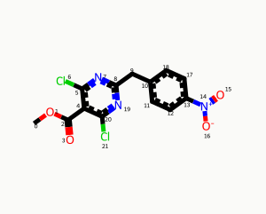 COC(=O)c1c(Cl)nc(Cc2ccc([N+](=O)[O-])cc2)nc1Cl